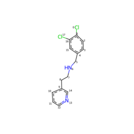 Clc1ccc(CNCCc2cccnc2)cc1Cl